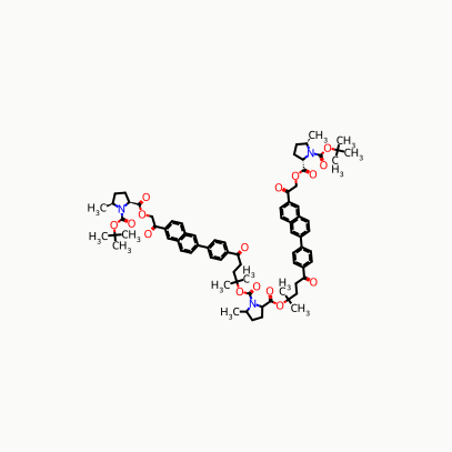 CC1CCC(C(=O)OC(C)(C)CCC(=O)c2ccc(-c3ccc4cc(C(=O)COC(=O)[C@@H]5CC[C@H](C)N5C(=O)OC(C)(C)C)ccc4c3)cc2)N1C(=O)OC(C)(C)CCC(=O)c1ccc(-c2ccc3cc(C(=O)COC(=O)[C@@H]4CC[C@H](C)N4C(=O)OC(C)(C)C)ccc3c2)cc1